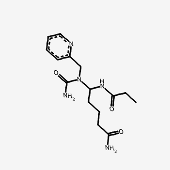 CCC(=O)NC(CCCC(N)=O)N(Cc1ccccn1)C(N)=O